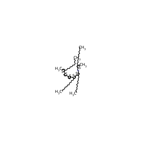 CCCCCCCCCCCCc1cc(/C=C/c2cc(CCCCCCCCCCCC)c(-c3cc(CCCCCCCCCCCC)c(-c4ccc(-c5ccc(-c6sc(C)cc6CCCCCCCCCCCC)s5)s4)s3)s2)sc1C